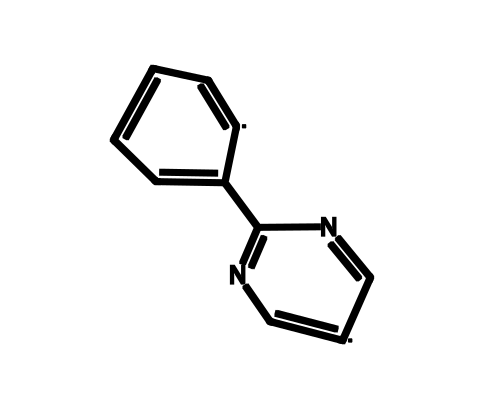 [c]1cnc(-c2[c]cccc2)nc1